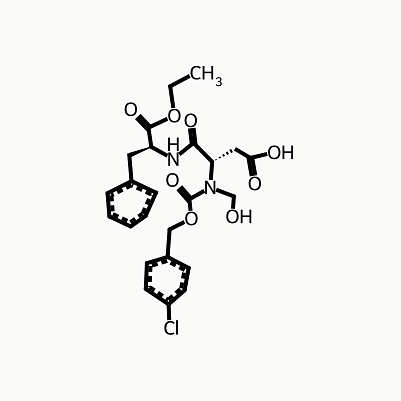 CCOC(=O)[C@H](Cc1ccccc1)NC(=O)[C@H](CC(=O)O)N(CO)C(=O)OCc1ccc(Cl)cc1